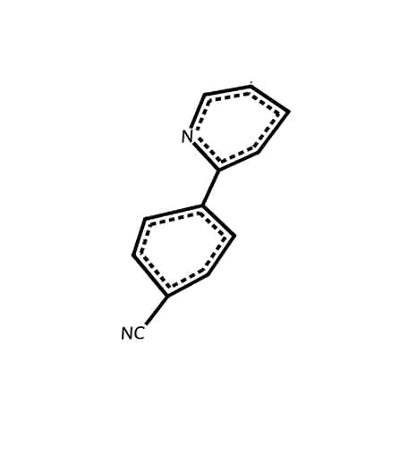 N#Cc1ccc(-c2cc[c]cn2)cc1